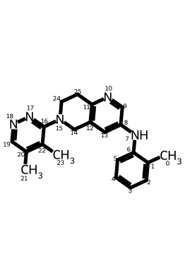 Cc1ccccc1Nc1cnc2c(c1)CN(c1nncc(C)c1C)CC2